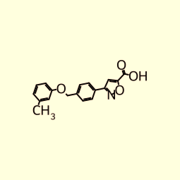 Cc1cccc(OCc2ccc(-c3cc(C(=O)O)on3)cc2)c1